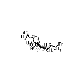 CC(C)CCCC(C)CCCC(C)CCCC(C)CCOC(=O)CN(CCN(CC(=O)O)CC(=O)OCCC(C)CCCC(C)CCCC(C)CCCC(C)C)CC(=O)O